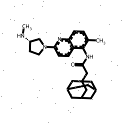 CN[C@H]1CCN(c2ccc3c(NC(=O)CC45CC6CC(CC(C6)C4)C5)c(C)ccc3n2)C1